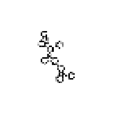 c1ccc(-c2cc(-c3cccc4c3sc3ccccc34)cc(-n3c4ccccc4c4cc(-c5ccc6c(c5)c5ccccc5n6-c5ccccc5)ccc43)c2)cc1